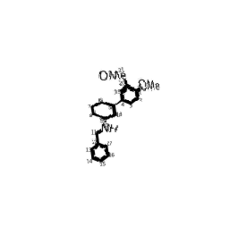 COc1ccc([C@@H]2CCC[C@@H](NCc3ccccc3)C2)cc1OC